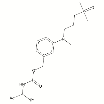 CC(=O)C(NC(=O)OCc1cccc(N(C)CCCP(C)(C)=O)c1)C(C)C